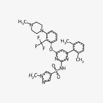 Cc1cccc(C)c1-c1cc(Oc2cccc(N3CCN(C)CC3)c2C(F)(F)F)nc(NS(=O)(=O)c2cnn(C)c2)n1